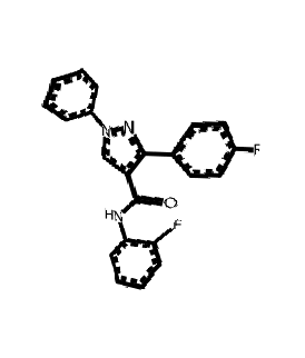 O=C(Nc1ccccc1F)c1cn(-c2ccccc2)nc1-c1ccc(F)cc1